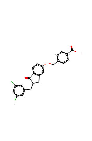 O=C(O)c1ccc(COc2ccc3c(c2)CC(Cc2cc(Cl)cc(Cl)c2)C3=O)cc1